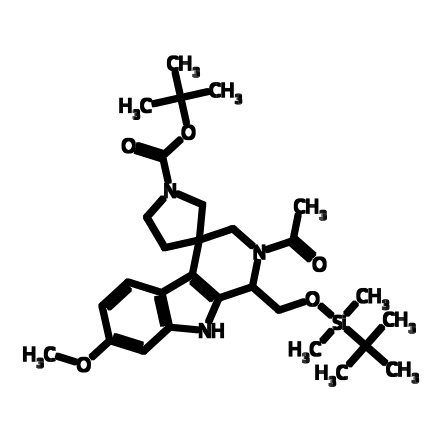 COc1ccc2c3c([nH]c2c1)C(CO[Si](C)(C)C(C)(C)C)N(C(C)=O)CC31CCN(C(=O)OC(C)(C)C)C1